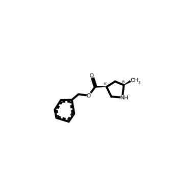 C[C@@H]1C[C@H](C(=O)OCc2ccccc2)CN1